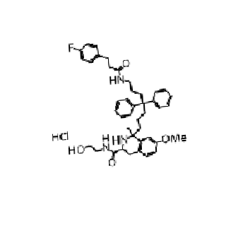 COc1ccc2c(c1)C(C)(CCCC(CCCNC(=O)CCc1ccc(F)cc1)(c1ccccc1)c1ccccc1)NC(C(=O)NCCO)C2.Cl